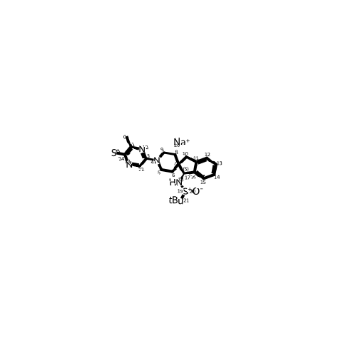 Cc1nc(N2CCC3(CC2)Cc2ccccc2[C@H]3N[S+]([O-])C(C)(C)C)cnc1[S-].[Na+]